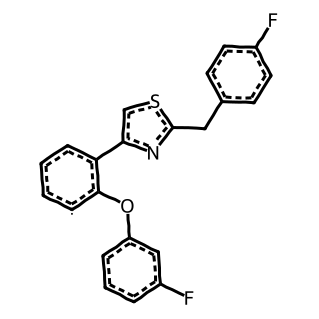 Fc1ccc(Cc2nc(-c3ccc[c]c3Oc3cccc(F)c3)cs2)cc1